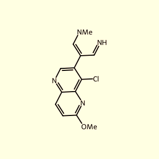 CN/C=C(\C=N)c1cnc2ccc(OC)nc2c1Cl